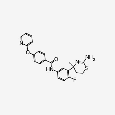 CC1(c2cc(NC(=O)c3ccc(Oc4ccccn4)cc3)ccc2F)CCSC(N)=N1